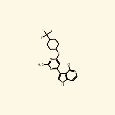 Cc1nc(OC2CCC(C(F)(F)F)CC2)cc(-c2c[nH]c3ccnc(Cl)c23)n1